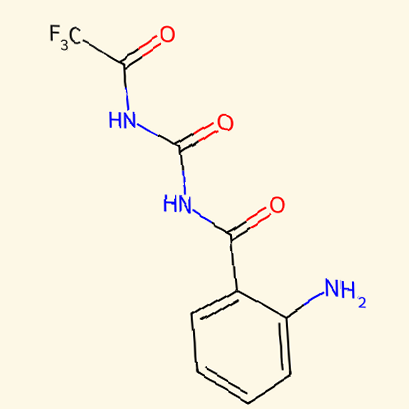 Nc1ccccc1C(=O)NC(=O)NC(=O)C(F)(F)F